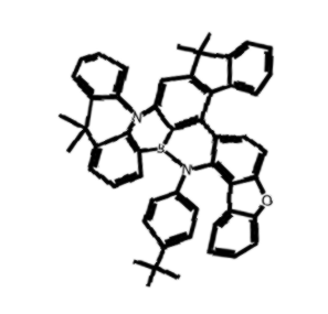 CC(C)(C)c1ccc(N2B3c4cccc5c4N(c4ccccc4C5(C)C)c4cc5c(c(c43)-c3ccc4oc6ccccc6c4c32)-c2ccccc2C5(C)C)cc1